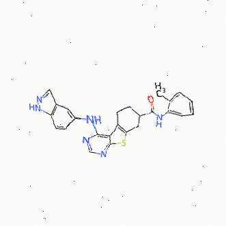 Cc1ccccc1NC(=O)C1CCc2c(sc3ncnc(Nc4ccc5[nH]ncc5c4)c23)C1